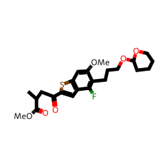 COC(=O)C(C)CC(=O)c1cc2c(F)c(CCCOC3CCCCO3)c(OC)cc2s1